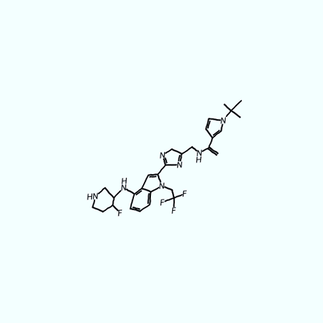 C=C(NCC1=NC(c2cc3c(NC4CNCCC4F)cccc3n2CC(F)(F)F)=NC1)c1ccn(C(C)(C)C)c1